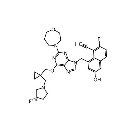 C#Cc1c(F)ccc2cc(O)cc(Cn3cnc4c(OCC5(CN6CC[C@H](F)C6)CC5)nc(N5CCCOCC5)nc43)c12